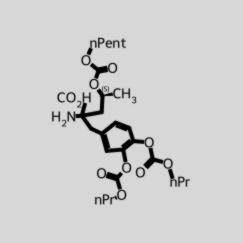 CCCCCOC(=O)O[C@@H](C)CC(N)(Cc1ccc(OC(=O)OCCC)c(OC(=O)OCCC)c1)C(=O)O